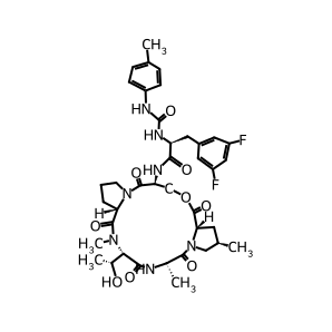 Cc1ccc(NC(=O)N[C@@H](Cc2cc(F)cc(F)c2)C(=O)N[C@H]2COC(=O)[C@@H]3C[C@@H](C)CN3C(=O)[C@H](C)NC(=O)[C@H]([C@@H](C)O)N(C)C(=O)[C@@H]3CCCN3C2=O)cc1